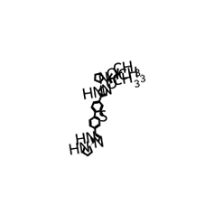 CC(C)(C)OC(=O)N1CCC[C@H]1c1ncc(-c2ccc3c(c2)sc2cc(-c4cnc([C@@H]5CCCN5)[nH]4)ccc23)[nH]1